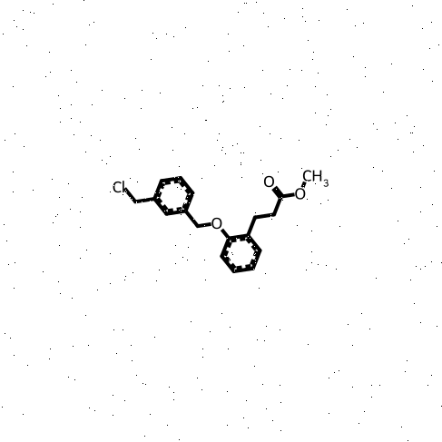 COC(=O)CCc1ccccc1OCc1cccc(CCl)c1